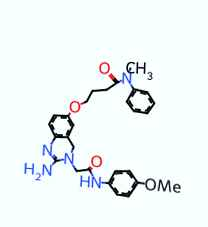 COc1ccc(NC(=O)CN2Cc3cc(OCCCC(=O)N(C)c4ccccc4)ccc3N=C2N)cc1